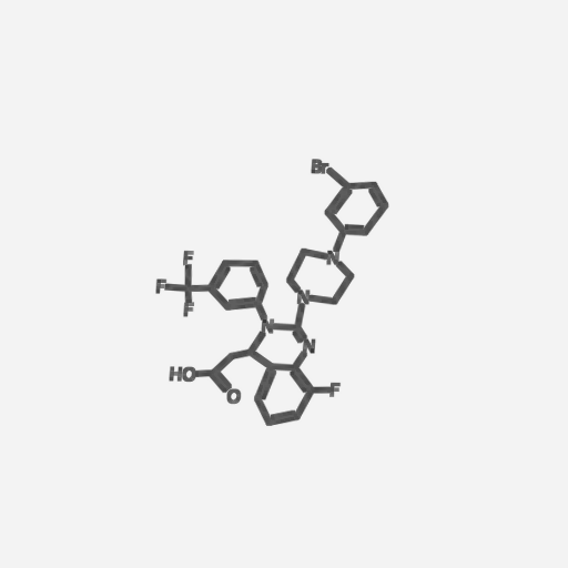 O=C(O)CC1c2cccc(F)c2N=C(N2CCN(c3cccc(Br)c3)CC2)N1c1cccc(C(F)(F)F)c1